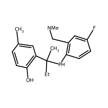 CCC(C)(Pc1ccc(F)cc1CNC)c1cc(C)ccc1O